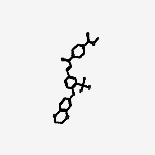 COC(=O)N1CCN(C(=O)C=Cc2ccc(Sc3ccc4c(c3)OCCO4)c(C(F)(F)F)c2)CC1